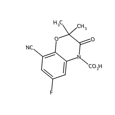 CC1(C)Oc2c(C#N)cc(F)cc2N(C(=O)O)C1=O